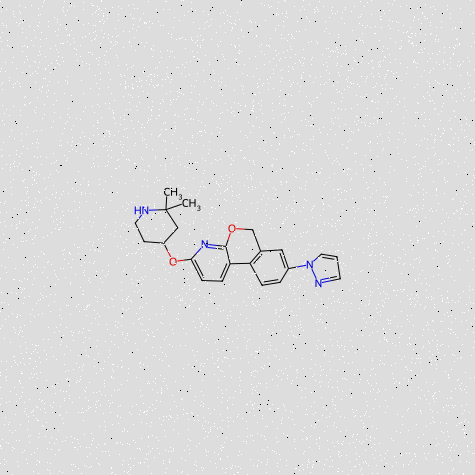 CC1(C)CC(Oc2ccc3c(n2)OCc2cc(-n4cccn4)ccc2-3)CCN1